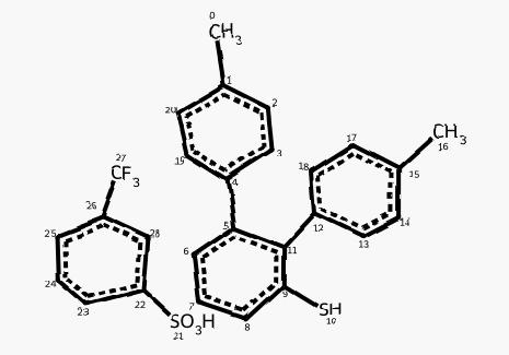 Cc1ccc(-c2cccc(S)c2-c2ccc(C)cc2)cc1.O=S(=O)(O)c1cccc(C(F)(F)F)c1